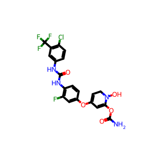 NC(=O)OC1=CC(Oc2ccc(NC(=O)Nc3ccc(Cl)c(C(F)(F)F)c3)c(F)c2)=CCN1O